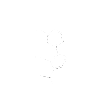 NC(=O)c1snc(-c2cccc(C(F)(F)F)c2)c1N